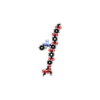 C=CC(=O)OCC(COc1ccc(OC(=O)C2CCC(C(=O)Oc3ccc(OC(=O)C4CCC(C(=O)Oc5ccc(OC(=O)C=C)cc5)CC4)c(/C=N/Nc4nc5ccccc5s4)c3)CC2)cc1)OC(=O)C=C